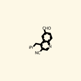 CC(C)Cc1c(C#N)cnc2ccc(C=O)cc12